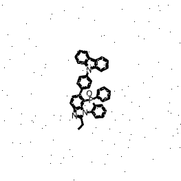 CCc1nc2ccc(-c3ccc(-n4c5ccccc5c5ccccc54)cc3)c3c2n1-c1ccccc1P3(=O)c1ccccc1